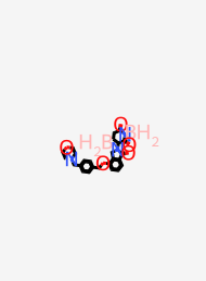 BC1CC(=O)N(B)C(=O)C1N1Cc2c(OCc3ccc(CN4CCOCC4)cc3)cccc2C1=O